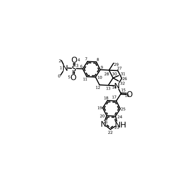 CN(C)S(=O)(=O)c1ccc2c(c1)CC1N(C(=O)c3ccc4nc[nH]c4c3)CCC2(C)C1(C)C